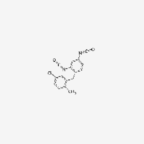 Cc1ccc(Cl)cc1Cc1ccc(N=C=O)cc1N=C=O